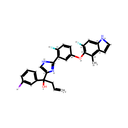 C=CCC(O)(c1cccc(I)c1)c1c[nH]c(-c2cc(Oc3c(F)cc4[nH]ccc4c3C)ccc2F)n1